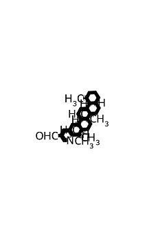 C[C@H]1CCC[C@H]2CC[C@]3(C)C(=CC[C@@H]4[C@@]5(C)Cc6cc(C=O)cnc6C(C)(C)[C@@H]5CC[C@]43C)[C@H]21